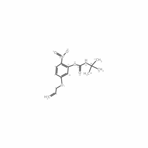 C=CCOc1ccc([N+](=O)[O-])c(OC(=O)NC(C)(C)C)c1